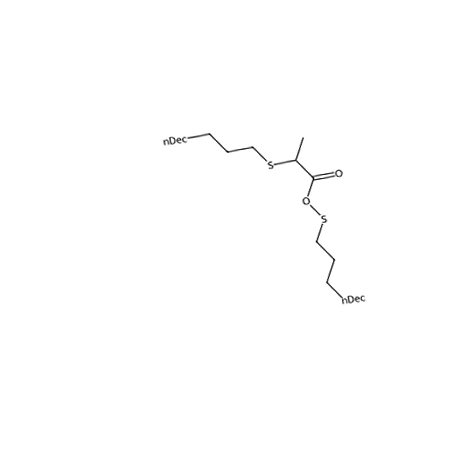 CCCCCCCCCCCCCSOC(=O)C(C)SCCCCCCCCCCCCC